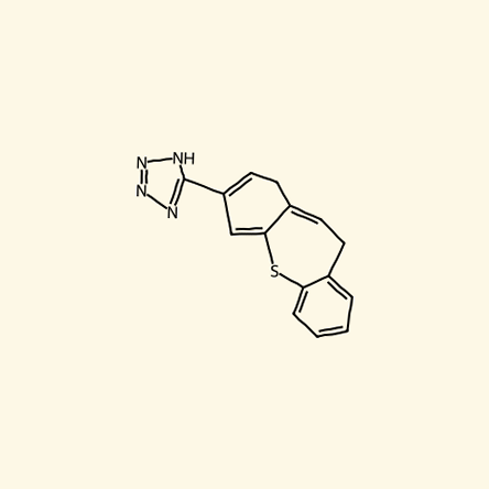 C1=C2CC=C(c3nnn[nH]3)C=C2Sc2ccccc2C1